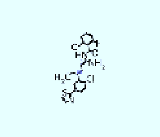 C=C/C(=C\C=C(/N)NC(=O)c1c(F)cccc1Cl)c1cc(-c2nccs2)ccc1Cl